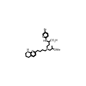 COC(C)CN(CCCCc1ccc2c(n1)NCCC2)CCC(Nc1ccc(Br)cn1)C(=O)O